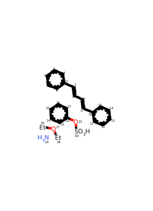 C(/C=C/c1ccccc1)=C\c1ccccc1.CCOCC.N.O=S(=O)(O)Oc1ccccc1